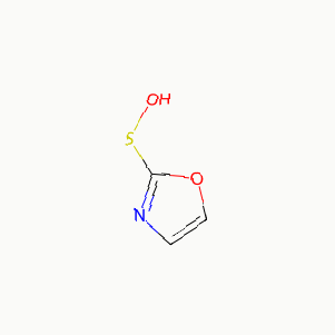 OSc1ncco1